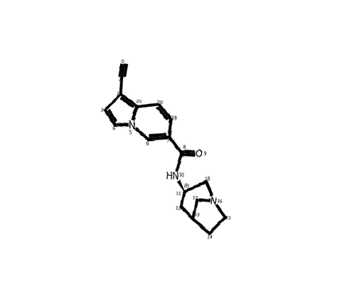 C#Cc1ccn2cc(C(=O)N[C@@H]3CC4CCN(C4)C3)ccc12